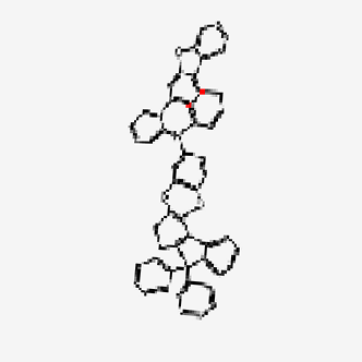 c1ccc(N(c2ccc3c(c2)OC2=C(O3)C3=C(CC2)C(c2ccccc2)(c2ccccc2)c2ccccc23)c2ccccc2-c2ccc3c(c2)oc2ccccc23)cc1